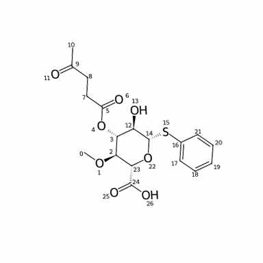 CO[C@H]1[C@H](OC(=O)CCC(C)=O)[C@@H](O)[C@H](Sc2ccccc2)O[C@@H]1C(=O)O